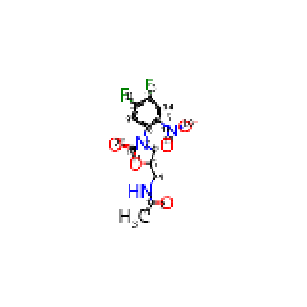 CC(=O)NCC1CN(c2cc(F)c(F)cc2[N+](=O)[O-])C(=O)O1